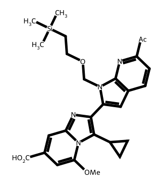 COc1cc(C(=O)O)cc2nc(-c3cc4ccc(C(C)=O)nc4n3COCC[Si](C)(C)C)c(C3CC3)n12